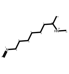 C=NCCCCCCC(C)NC